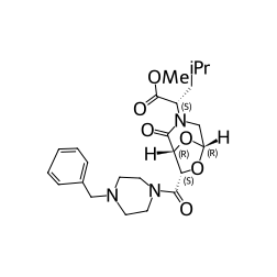 COC(=O)[C@H](CC(C)C)N1C[C@@H]2O[C@H](C(=O)N3CCN(Cc4ccccc4)CC3)[C@@H](O2)C1=O